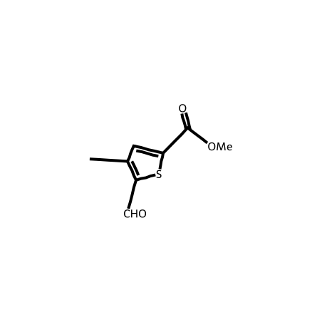 COC(=O)c1cc(C)c(C=O)s1